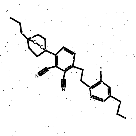 CCCc1ccc(CCc2ccc(C34CCC(CCC)(CC3)CC4)c(C#N)c2C#N)c(F)c1